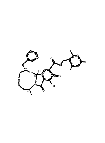 C[C@H]1CCOC[C@@H](Cc2ccccc2)O[C@H]2CN1C(=O)c1c(O)c(=O)c(C(=O)NCc3c(F)cc(F)cc3F)cn12